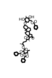 CC1O[C@@H](OC[C@@H](C)CCC(=O)[C@@H](C)C2C(=O)CC3C4CCC5CC(O[C@@H]6CC(COC(=O)c7ccccc7)[C@H](O)[C@H](C)C6O)CCC5(C)C4CCC32C)C(OC(=O)c2ccccc2)[C@@H](OC(=O)c2ccccc2)[C@@H]1C